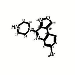 Brc1ccc2c(c1)nc(N1CCNCC1)c1nocc12